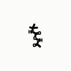 CC(=O)NOC(=O)NC(C)(C)C